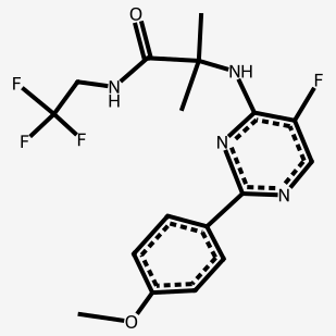 COc1ccc(-c2ncc(F)c(NC(C)(C)C(=O)NCC(F)(F)F)n2)cc1